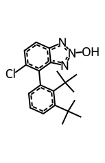 CC(C)(C)c1cccc(-c2c(Cl)ccc3nn(O)nc23)c1C(C)(C)C